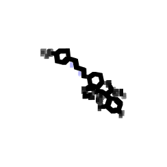 C[C@@H](S[C@H]1CC[C@H](/C=C/C=C/c2ccc(C(F)(F)F)cc2)CC1)[C@](O)(Cn1cncn1)c1ccc(F)cc1F